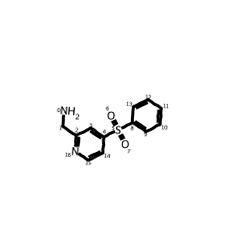 NCc1cc(S(=O)(=O)c2ccccc2)ccn1